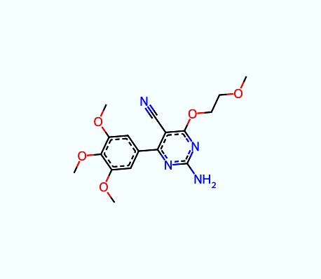 COCCOc1nc(N)nc(-c2cc(OC)c(OC)c(OC)c2)c1C#N